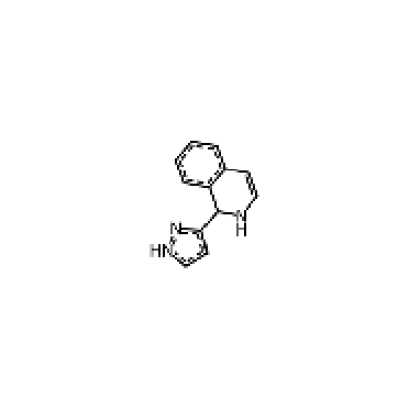 C1=Cc2ccccc2C(c2cc[nH]n2)N1